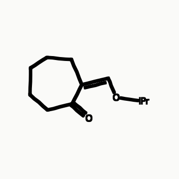 CC(C)OC=C1CCCCCC1=O